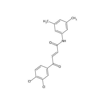 Cc1cc(C)cc(NC(=O)C=CC(=O)c2ccc(Cl)c(Cl)c2)c1